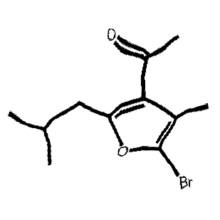 CC(=O)c1c(CC(C)C)oc(Br)c1C